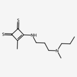 CCCN(C)CCCNc1c(C)c(=S)c1=S